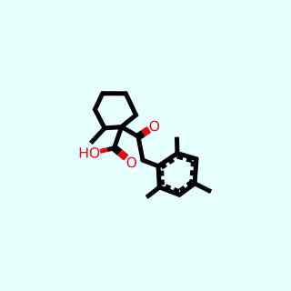 Cc1cc(C)c(CC(=O)C2(C(=O)O)CCCCC2C)c(C)c1